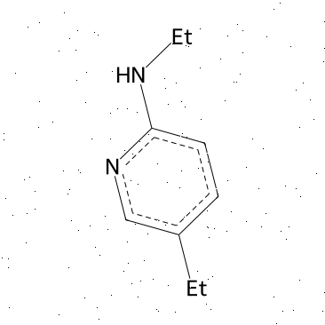 CCNc1ccc(CC)cn1